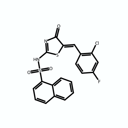 O=C1N=C(NS(=O)(=O)c2cccc3ccccc23)SC1=Cc1ccc(F)cc1Cl